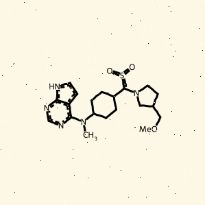 COCC1CCN(C(C2CCC(N(C)c3ncnc4[nH]ccc34)CC2)=S(=O)=O)C1